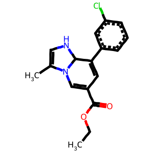 CCOC(=O)C1=CN2C(C)=CNC2C(c2cccc(Cl)c2)=C1